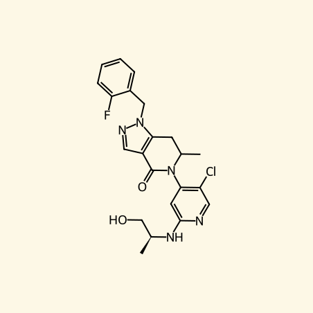 CC1Cc2c(cnn2Cc2ccccc2F)C(=O)N1c1cc(N[C@@H](C)CO)ncc1Cl